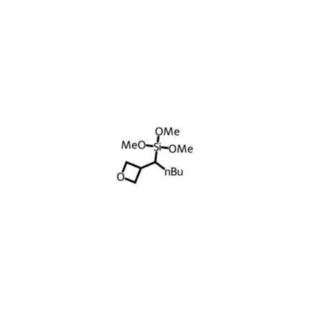 CCCCC(C1COC1)[Si](OC)(OC)OC